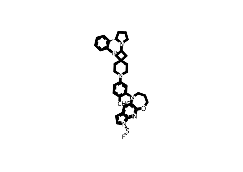 CC(C)c1ccccc1[C@@H]1CCCN1C1CC2(CCN(c3ccc(C=O)c(N4CCCOc5nc6c(ccn6SF)cc54)c3)CC2)C1